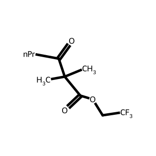 CCCC(=O)C(C)(C)C(=O)OCC(F)(F)F